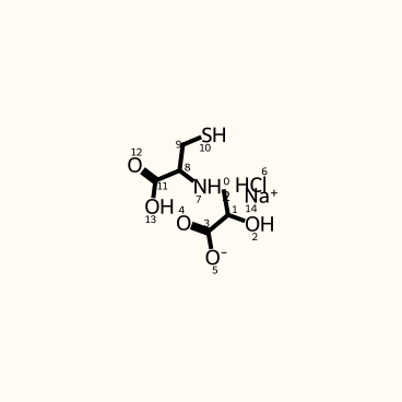 CC(O)C(=O)[O-].Cl.NC(CS)C(=O)O.[Na+]